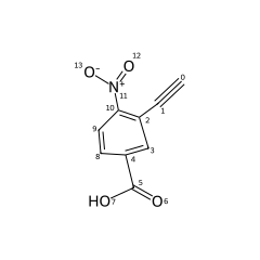 C#Cc1cc(C(=O)O)ccc1[N+](=O)[O-]